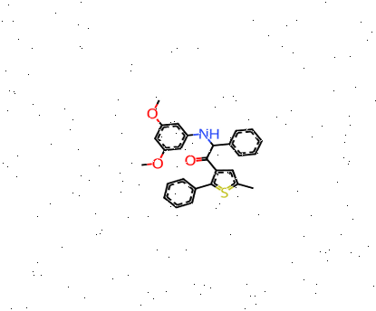 COc1cc(NC(C(=O)c2cc(C)sc2-c2ccccc2)c2ccccc2)cc(OC)c1